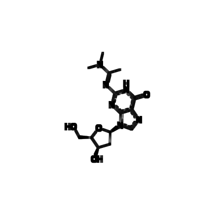 C/C(=N\c1nc2c(ncn2[C@H]2C[C@@H](O)[C@@H](CO)O2)c(=O)[nH]1)N(C)C